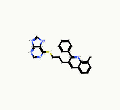 Cc1cccc2cc(CCCSc3ncnc4nc[nH]c34)c(-c3ccccc3)nc12